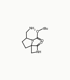 CC(C)(C)OC(=O)N1C(CN)CCC12CNC2=O